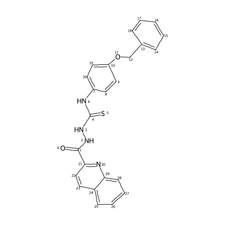 O=C(NNC(=S)Nc1ccc(OCc2ccccc2)cc1)c1ccc2ccccc2n1